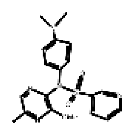 COc1nc(C)cnc1N(c1ccc(N(C)C)cc1)S(=O)(=O)c1cccnc1